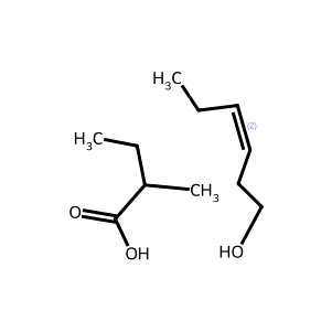 CC/C=C\CCO.CCC(C)C(=O)O